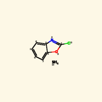 Clc1nc2ccccc2o1.[SiH4]